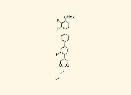 C=CCCC1OCC(c2ccc(-c3ccc(-c4ccc(CCCCCC)c(F)c4F)cc3)cc2F)CO1